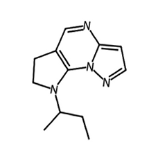 CCC(C)N1CCc2cnc3ccnn3c21